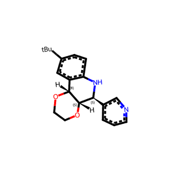 CC(C)(C)c1ccc2c(c1)[C@H]1OCCO[C@H]1[C@H](c1cccnc1)N2